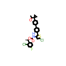 CC(=O)C1(c2ccc(-c3ccc(-c4sc(Cl)cc4NC(=O)O[C@H](C)c4ccc(F)cc4Cl)cc3)cc2)CC1